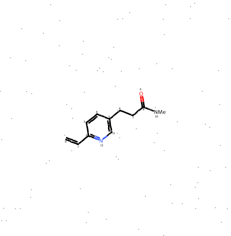 C=Cc1ccc(CCC(=O)NC)cn1